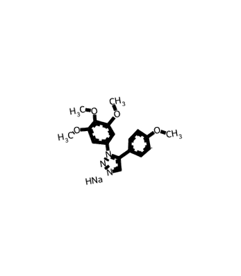 COc1[c]cc(-c2cnnn2-c2cc(OC)c(OC)c(OC)c2)cc1.[NaH]